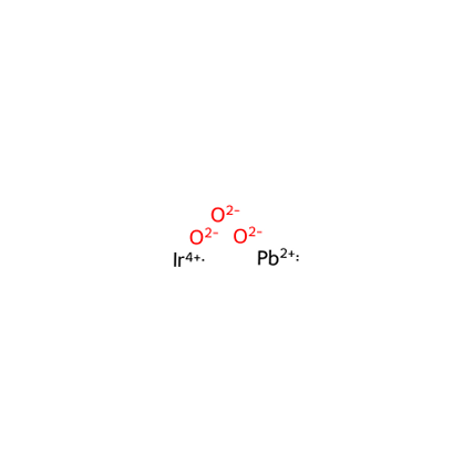 [Ir+4].[O-2].[O-2].[O-2].[Pb+2]